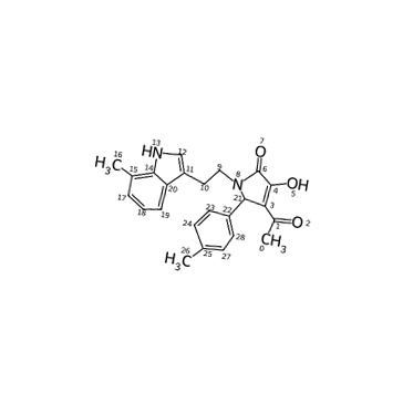 CC(=O)C1=C(O)C(=O)N(CCc2c[nH]c3c(C)cccc23)C1c1ccc(C)cc1